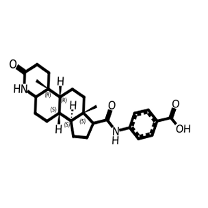 C[C@]12CCC(=O)NC1CC[C@@H]1[C@H]2CC[C@]2(C)C(C(=O)Nc3ccc(C(=O)O)cc3)CC[C@@H]12